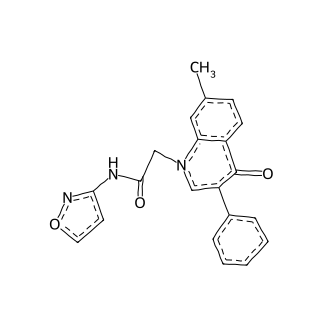 Cc1ccc2c(=O)c(-c3ccccc3)cn(CC(=O)Nc3ccon3)c2c1